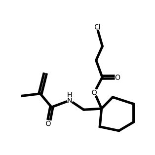 C=C(C)C(=O)NCC1(OC(=O)CCCl)CCCCC1